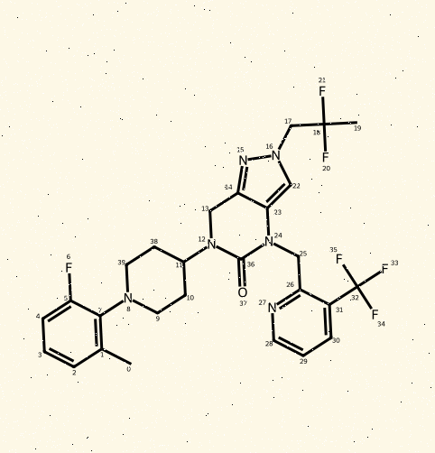 Cc1cccc(F)c1N1CCC(N2Cc3nn(CC(C)(F)F)cc3N(Cc3ncccc3C(F)(F)F)C2=O)CC1